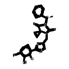 C[C@@H](c1ccccc1)N1C(=O)N(Cc2nnc(-c3ccc(F)c(O)c3Cl)s2)C2(CC2)C1=O